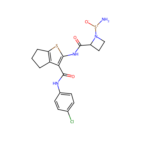 N[S+]([O-])N1CCC1C(=O)Nc1sc2c(c1C(=O)Nc1ccc(Cl)cc1)CCC2